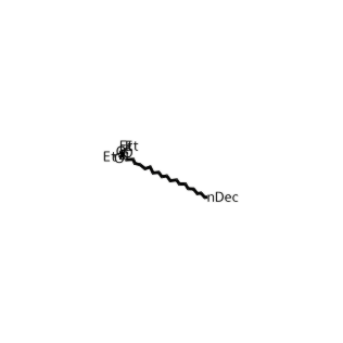 CCCCCCCCCCCCCCCCCCCCCCCCCCCCC[Si](OCC)(OCC)OCC